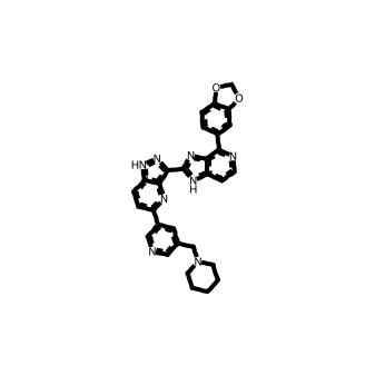 c1cc2[nH]c(-c3n[nH]c4ccc(-c5cncc(CN6CCCCC6)c5)nc34)nc2c(-c2ccc3c(c2)OCO3)n1